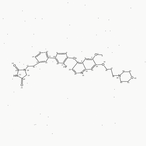 COc1cc2c(Oc3ccc(-c4cccc(CCN5CC(=O)NC5=O)c4)cc3F)ccnc2cc1OCCCN1CCOCC1